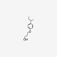 CCC(C)c1ccc(OCCCO)cc1